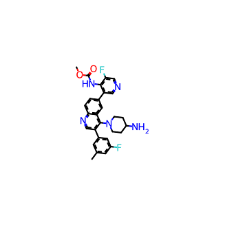 COC(=O)Nc1c(F)cncc1-c1ccc2ncc(-c3cc(C)cc(F)c3)c(N3CCC(N)CC3)c2c1